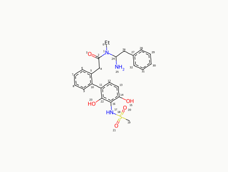 CCN(C(=O)Cc1ccccc1-c1ccc(O)c(NS(C)(=O)=O)c1O)C(N)Cc1ccccc1